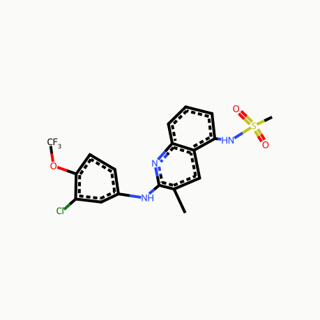 Cc1cc2c(NS(C)(=O)=O)cccc2nc1Nc1ccc(OC(F)(F)F)c(Cl)c1